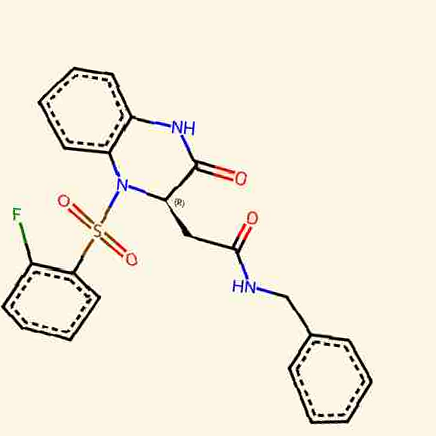 O=C(C[C@@H]1C(=O)Nc2ccccc2N1S(=O)(=O)c1ccccc1F)NCc1ccccc1